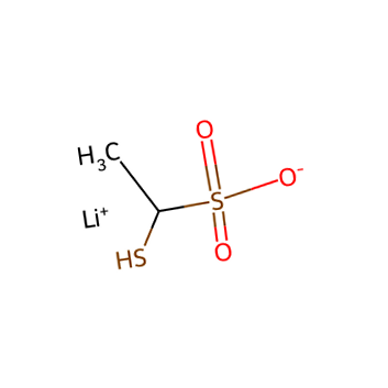 CC(S)S(=O)(=O)[O-].[Li+]